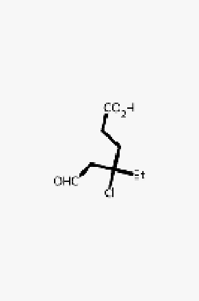 CCC(Cl)(CC=O)CCC(=O)O